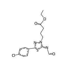 CCOC(=O)CCCn1nc(-c2ccc(Cl)cc2)s/c1=N\C=O